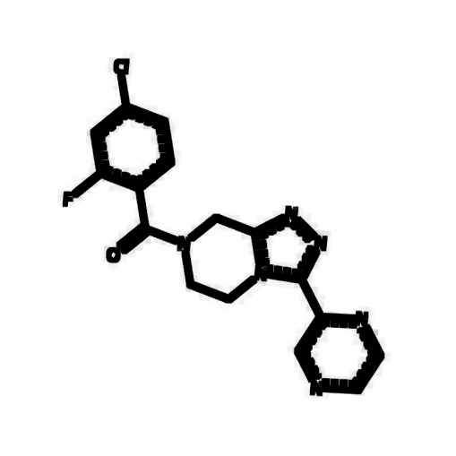 O=C(c1ccc(Cl)cc1F)N1CCn2c(nnc2-c2cnccn2)C1